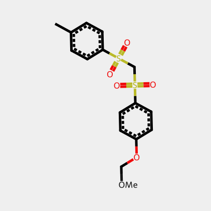 COCOc1ccc(S(=O)(=O)CS(=O)(=O)c2ccc(C)cc2)cc1